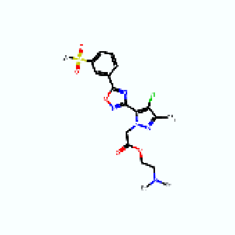 CCN(CC)CCOC(=O)Cn1nc(C(F)(F)F)c(Cl)c1-c1noc(-c2cccc(S(C)(=O)=O)c2)n1